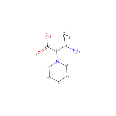 CC(N)C(C(=O)O)N1CCCCC1